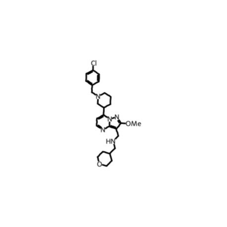 COc1nn2c(C3CCCN(Cc4ccc(Cl)cc4)C3)ccnc2c1CNCC1CCOCC1